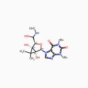 CCCCn1c(=O)c2c(ncn2[C@@H]2O[C@H](C(O)NC=O)[C@]3(O)C(C)(C)[C@]23O)n(CCCC)c1=O